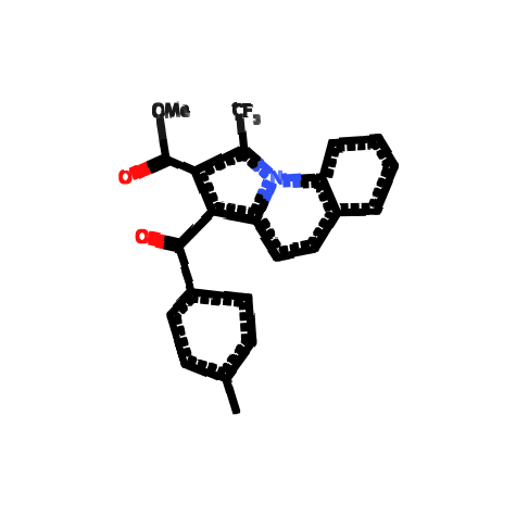 COC(=O)c1c(C(=O)c2ccc(C)cc2)c2ccc3ccccc3n2c1C(F)(F)F